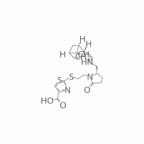 CC1(C)[C@H]2CC[C@@H](CNC[C@H]3CCC(=O)N3CCSc3nc(C(=O)O)cs3)[C@H]1C2